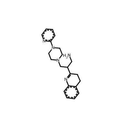 NCC(CN1CCN(c2ccccn2)CC1)C1=Nc2ccccc2CC1